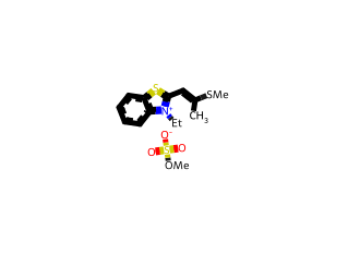 CC[n+]1c(/C=C(\C)SC)sc2ccccc21.COS(=O)(=O)[O-]